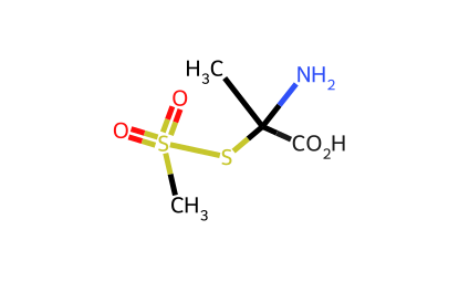 CC(N)(SS(C)(=O)=O)C(=O)O